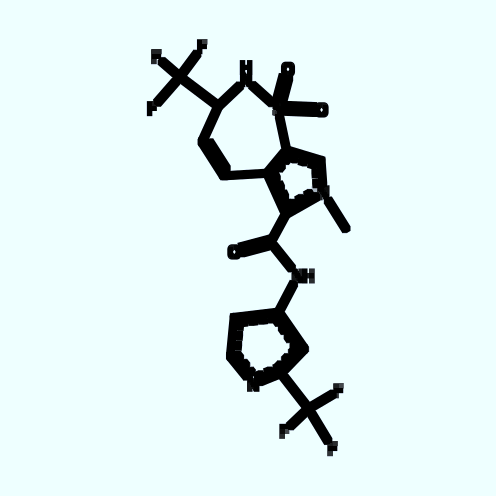 Cn1cc2c(c1C(=O)Nc1ccnc(C(F)(F)F)c1)C=CC(C(F)(F)F)NS2(=O)=O